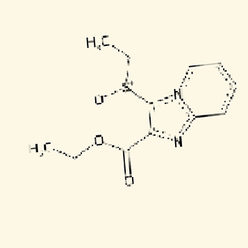 CCOC(=O)c1nc2ccccn2c1[S+]([O-])CC